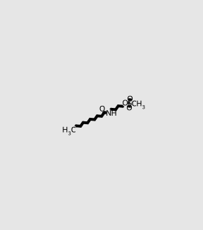 CCCCCCCCCC(=O)NCCCCOS(C)(=O)=O